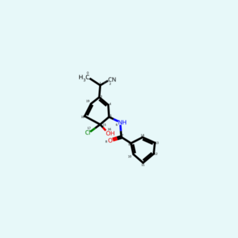 CC(C#N)C1=CC(NC(=O)c2ccccc2)C(O)(Cl)C=C1